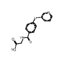 O=C(O)CNC(=O)c1ccc(Oc2cccnc2)cc1